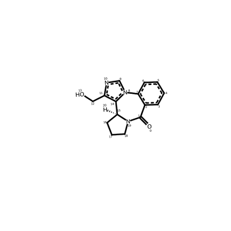 O=C1c2ccccc2-n2cnc(CO)c2[C@@H]2CCCN12